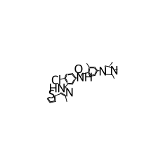 Cc1cc(N2CC(C)N(C)[C@H](C)C2)ccc1C(=O)Nc1ccc(Cl)c(-c2nc(C)c(-c3cccs3)[nH]2)c1